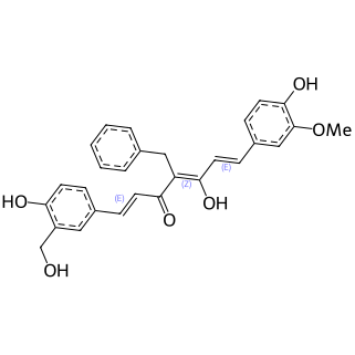 COc1cc(/C=C/C(O)=C(\Cc2ccccc2)C(=O)/C=C/c2ccc(O)c(CO)c2)ccc1O